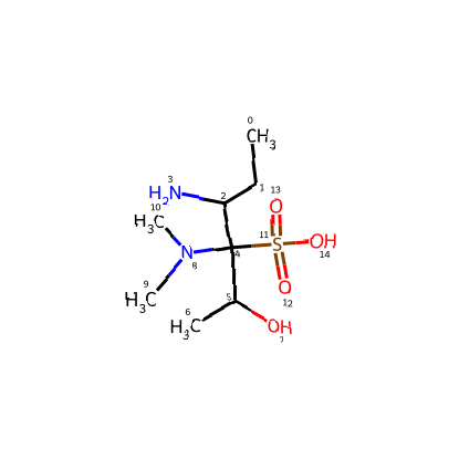 CCC(N)C(C(C)O)(N(C)C)S(=O)(=O)O